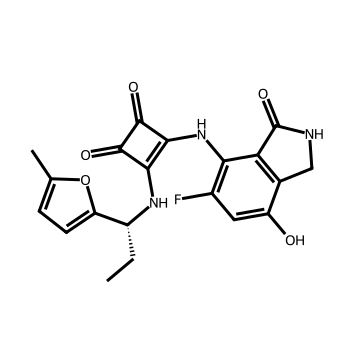 CC[C@@H](Nc1c(Nc2c(F)cc(O)c3c2C(=O)NC3)c(=O)c1=O)c1ccc(C)o1